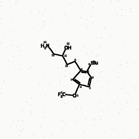 CC(C)(C)c1ccc(OC(F)(F)F)cc1CCC(O)CN